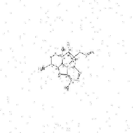 C=CCN1CC[C@]23c4c5ccc(O)c4OC2C(N)CC[C@@]3(O)[C@H]1C5